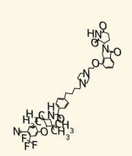 CC1(C)[C@H](NC(=O)c2ccc(CCCCN3CCN(CCOc4cccc5c4CN(C4CCC(=O)NC4=O)C5=O)CC3)cc2)C(C)(C)[C@H]1Oc1ccc(C#N)c(C(F)(F)F)c1